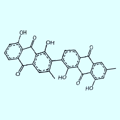 Cc1cc(O)c2c(c1)C(=O)c1ccc(-c3c(C)cc4c(c3O)C(=O)c3c(O)cccc3C4=O)c(O)c1C2=O